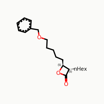 CCCCCC[C@@H]1C(=O)O[C@H]1CCCCCOCc1ccccc1